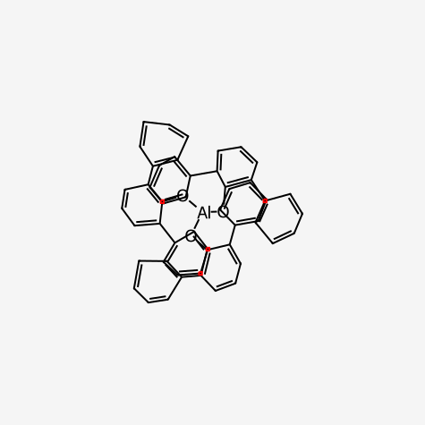 c1ccc(-c2cccc(-c3ccccc3)c2[O][Al]([O]c2c(-c3ccccc3)cccc2-c2ccccc2)[O]c2c(-c3ccccc3)cccc2-c2ccccc2)cc1